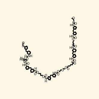 CC(COC(=O)Nc1cccc(Cc2cccc(NC(=O)OCCCCOC(=O)Nc3cccc(Cc4cccc(NC(=O)OCCOCCOC(=O)CCCCC(=O)OC(=O)Nc5cccc(Cc6cccc(NC(=O)OCCCOC(=O)Nc7cccc(Cc8cccc(NC(=O)OCC9CO9)c8)c7)c6)c5)c4)c3)c2)c1)(OC(=O)Nc1cccc(Cc2cccc(N=C=O)c2)c1)C(=O)O